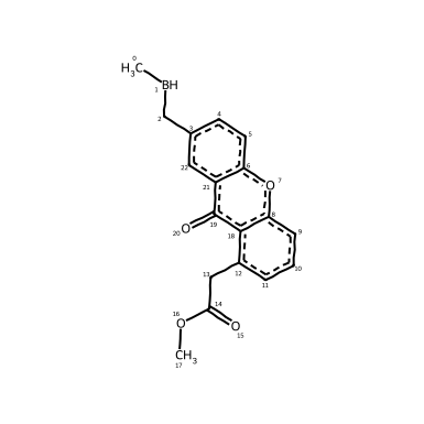 CBCc1ccc2oc3cccc(CC(=O)OC)c3c(=O)c2c1